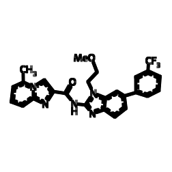 COCCn1c(NC(=O)c2cn3c(C)cccc3n2)nc2ccc(-c3cccc(C(F)(F)F)c3)cc21